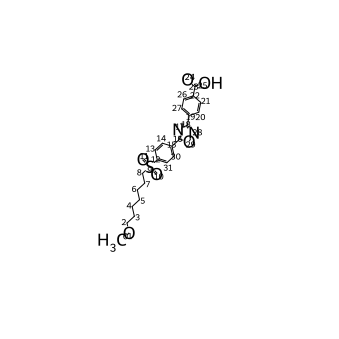 COCCCCCCCS(=O)(=O)c1ccc(-c2nc(-c3ccc(C(=O)O)cc3)no2)cc1